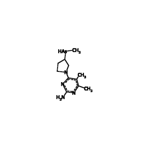 C[AsH]C1CCN(c2nc(N)nc(C)c2C)C1